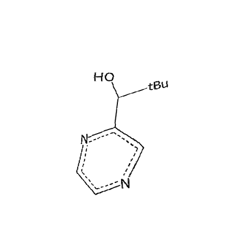 CC(C)(C)C(O)c1cnccn1